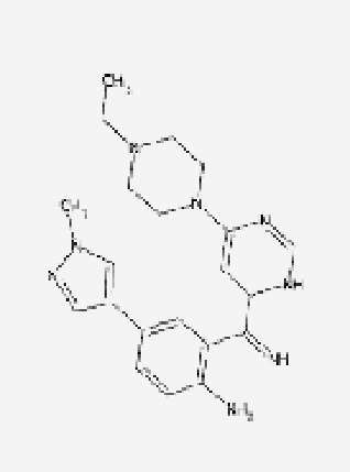 CCN1CCN(C2=CC(C(=N)c3cc(-c4cnn(C)c4)ccc3N)NC=N2)CC1